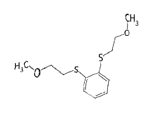 COCCSc1ccccc1SCCOC